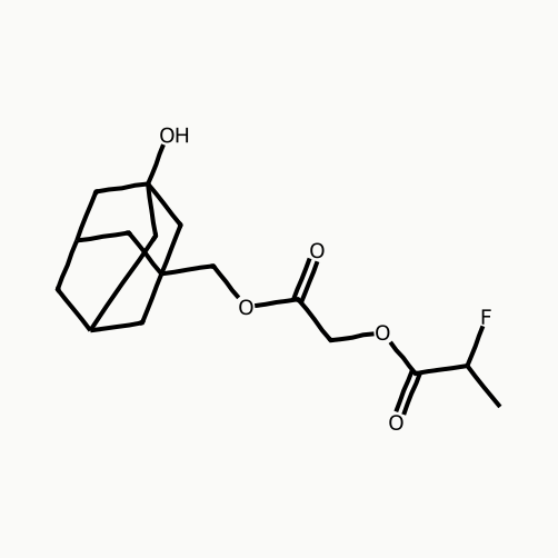 CC(F)C(=O)OCC(=O)OCC12CC3CC(CC(O)(C3)C1)C2